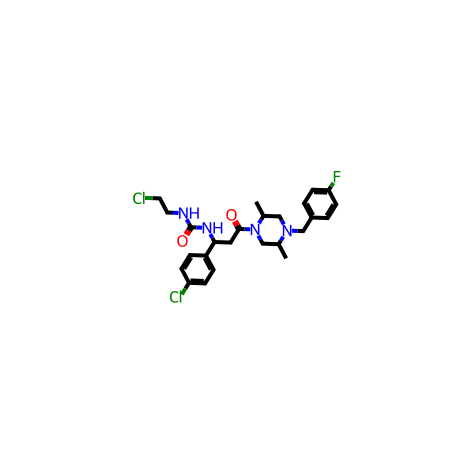 CC1CN(C(=O)CC(NC(=O)NCCCl)c2ccc(Cl)cc2)C(C)CN1Cc1ccc(F)cc1